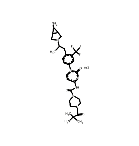 CC(Cc1ccc(-n2ccc(NC(=O)N3CCN(C(=O)C(C)(C)N)CC3)nc2=O)cc1C(F)(F)F)N1CC2C(N)C2C1.Cl